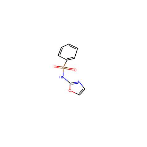 O=S(=O)(Nc1ncco1)c1ccccc1